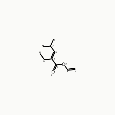 C=COC(=O)C(=CC(C)C)CC